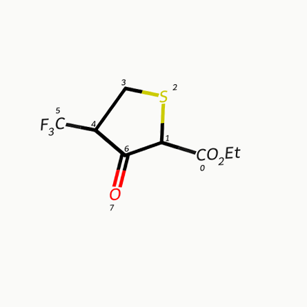 CCOC(=O)C1SCC(C(F)(F)F)C1=O